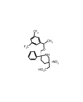 C[C@@H](OC[C@@]1(c2ccccc2)CC[C@@](CC(=O)O)([N+](=O)[O-])CN1)c1cc(C(F)(F)F)cc(C(F)(F)F)c1